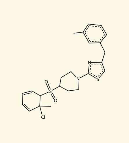 Cc1cccc(Cc2csc(N3CCC(S(=O)(=O)C4C=CC=CC4(C)Cl)CC3)n2)c1